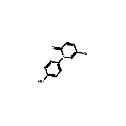 O=c1ccc(Br)cn1-c1ccc(O)cc1